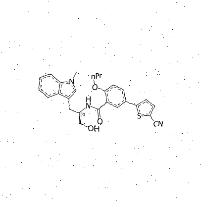 CCCOc1ccc(-c2ccc(C#N)s2)cc1C(=O)N[C@@H](CO)Cc1cn(C)c2ccccc12